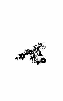 CCOc1c(C)cc(C2=NO[C@]3(C2)C[C@@H](C(=O)N[C@@H](CC2CC2)C(=O)C(N)=O)N(C(=O)[C@@H](NC(=O)[C@@H]2C[C@H]2c2ccccc2)C(C)(C)C)C3)cc1C